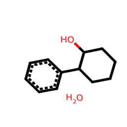 O.OC1CCCCC1c1ccccc1